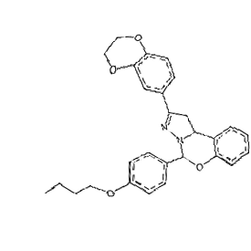 CCCCOc1ccc(C2Oc3ccccc3C3CC(c4ccc5c(c4)OCCO5)=NN32)cc1